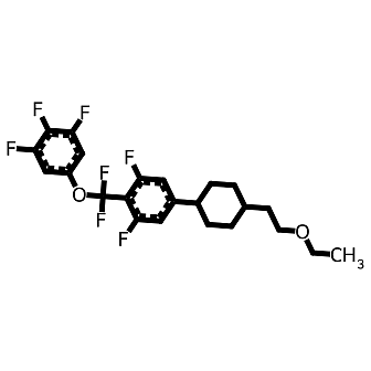 CCOCCC1CCC(c2cc(F)c(C(F)(F)Oc3cc(F)c(F)c(F)c3)c(F)c2)CC1